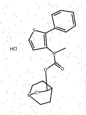 CN(C(=O)OC1CN2CCC1CC2)c1ccsc1-c1ccccc1.Cl